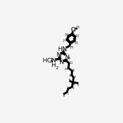 CCCCC(C)(C)CCCCCc1nc(N)nc(NCc2ccc(OC)cc2)n1.Cl